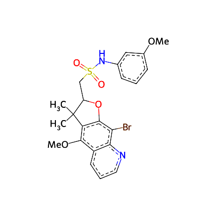 COc1cccc(NS(=O)(=O)CC2Oc3c(c(OC)c4cccnc4c3Br)C2(C)C)c1